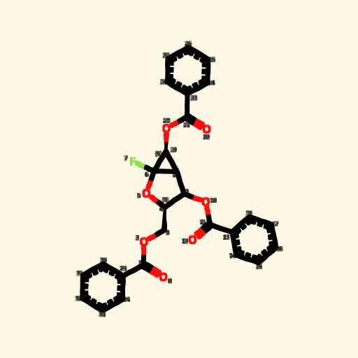 O=C(OC[C@H]1OC2(F)C(C1OC(=O)c1ccccc1)[C@@H]2OC(=O)c1ccccc1)c1ccccc1